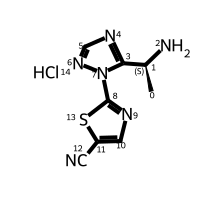 C[C@H](N)c1ncnn1-c1ncc(C#N)s1.Cl